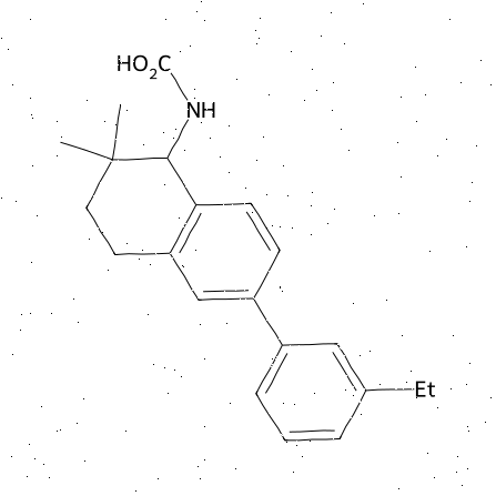 CCc1cccc(-c2ccc3c(c2)CCC(C)(C)C3NC(=O)O)c1